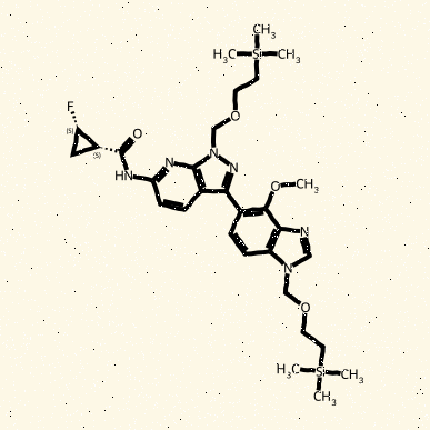 COc1c(-c2nn(COCC[Si](C)(C)C)c3nc(NC(=O)[C@@H]4C[C@@H]4F)ccc23)ccc2c1ncn2COCC[Si](C)(C)C